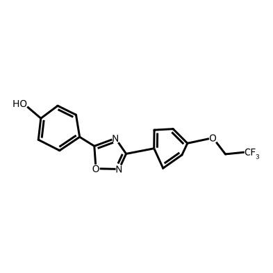 Oc1ccc(-c2nc(-c3ccc(OCC(F)(F)F)cc3)no2)cc1